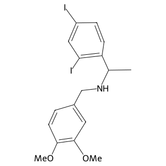 COc1ccc(CNC(C)c2ccc(I)cc2I)cc1OC